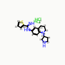 Cl.Cl.N=C(Nc1ccc2c(c1)CCCN2C1CCNC1)c1cccs1